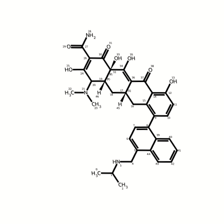 CC(C)NCc1ccc(-c2ccc(O)c3c2C[C@@H]2C[C@@H]4C(N(C)C)C(O)=C(C(N)=O)C(=O)[C@]4(O)C(O)=C2C3=O)c2ccccc12